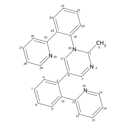 CC1N=CC(c2ccccc2-c2ccccn2)=CN1c1ccccc1-c1ccccn1